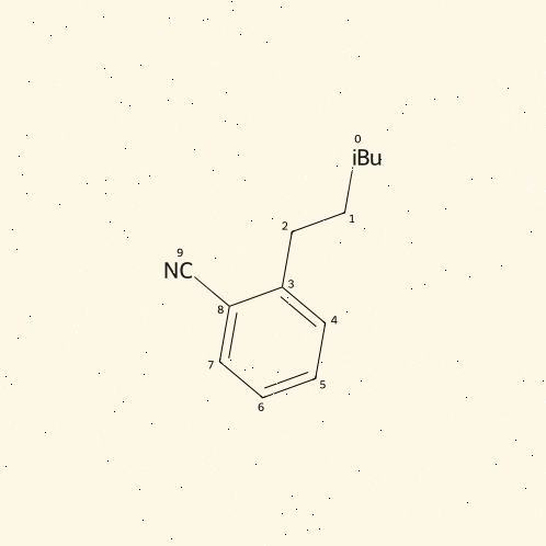 CCC(C)CCc1ccccc1C#N